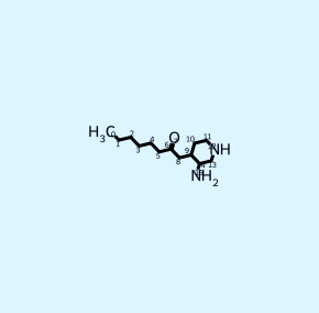 CCCCCCC(=O)CC1CCNCC1N